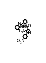 O=C(Nc1ccccc1-c1nc2ccccc2[nH]1)c1cnn(-c2ccc([N+](=O)[O-])cc2)c1C(F)(F)F